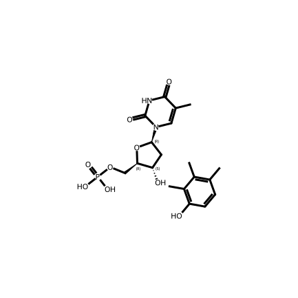 Cc1ccc(O)c(C)c1C.Cc1cn([C@H]2C[C@H](O)[C@@H](COP(=O)(O)O)O2)c(=O)[nH]c1=O